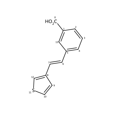 O=C(O)c1cccc(C=Cc2ccsc2)c1